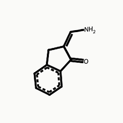 N/C=C1/Cc2ccccc2C1=O